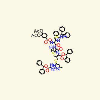 CC(=O)Oc1ccc(C(=O)ON=C(C(=O)N[C@@H]2C(=O)N3C(C(=O)OC(c4ccccc4)c4ccccc4)=C(CSc4cc(C)nc5nc(C(=O)OC(c6ccccc6)c6ccccc6)nn45)CS[C@H]23)c2csc(NC(c3ccccc3)(c3ccccc3)c3ccccc3)n2)cc1OC(C)=O